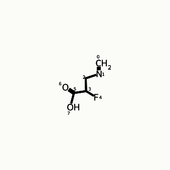 C=NCC(F)C(=O)O